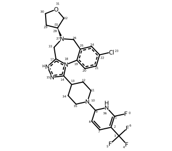 FC1=C(C(F)(F)F)C=CC(N2CCC(c3nnc4n3-c3ccc(Cl)cc3CN([C@H]3CCOC3)C4)CC2)N1